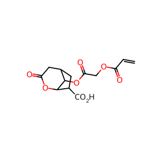 C=CC(=O)OCC(=O)OC1C2CC(=O)OC1C(C(=O)O)C2